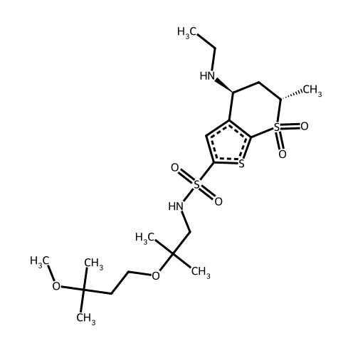 CCN[C@H]1C[C@H](C)S(=O)(=O)c2sc(S(=O)(=O)NCC(C)(C)OCCC(C)(C)OC)cc21